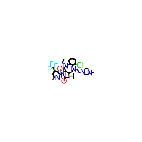 CCN1C(=O)[C@@H]2[C@H](CC(=O)N2c2cc(C(F)(F)F)cc(C)n2)CN(CCN2CCN(C)CC2)c2c(Cl)cccc21